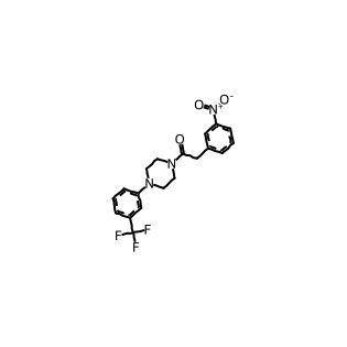 O=C(Cc1cccc([N+](=O)[O-])c1)N1CCN(c2cccc(C(F)(F)F)c2)CC1